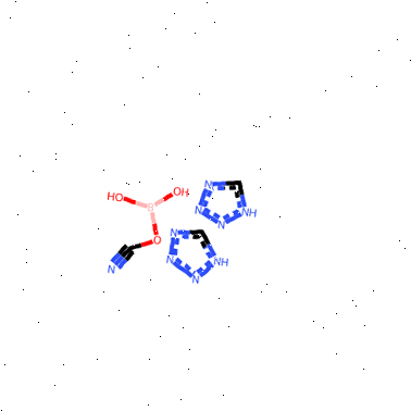 N#COB(O)O.c1nnn[nH]1.c1nnn[nH]1